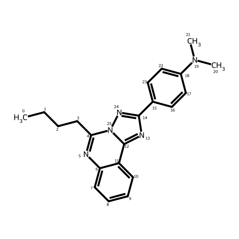 CCCCc1nc2ccccc2c2nc(-c3ccc(N(C)C)cc3)nn12